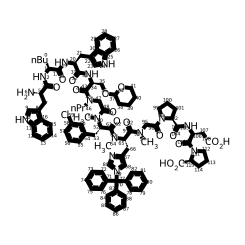 CCCC[C@H](NC(=O)[C@@H](N)Cc1c[nH]c2ccccc12)C(=O)N[C@@H](Cc1c[nH]c2ccccc12)C(=O)N[C@@H](COC1CCCCO1)C(=O)N(CCC)CC(=O)N(C)[C@@H](Cc1cccc(Cl)c1)C(=O)N(C)[C@@H](Cc1cn(C(c2ccccc2)(c2ccccc2)c2ccccc2)cn1)C(=O)N(C)CC(=O)N1CCC[C@H]1C(=O)N[C@@H](CC(=O)O)C(=O)N1CCC[C@H]1C(=O)O